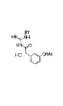 COc1cccc(CC(=O)NC(=N)NC(C)C)c1.Cl